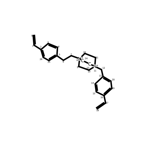 C=Cc1ccc(CC[N+]23CC[N+](Cc4ccc(C=C)cc4)(CC2)CC3)cc1